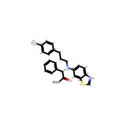 CNC(=O)[C@H](c1ccccc1)N(CCCc1ccc(C(F)(F)F)cc1)c1ccc2ncsc2c1